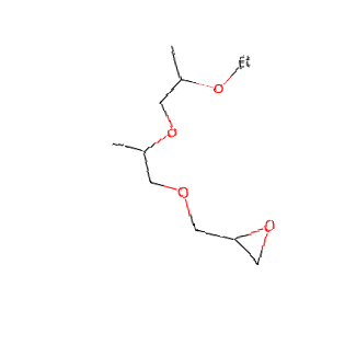 CCOC(C)COC(C)COCC1CO1